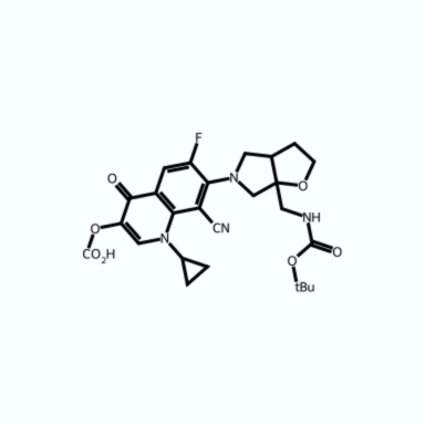 CC(C)(C)OC(=O)NCC12CN(c3c(F)cc4c(=O)c(OC(=O)O)cn(C5CC5)c4c3C#N)CC1CCO2